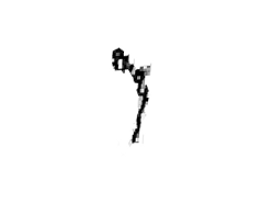 CCOc1cc(N2CCC(C(=O)NCCOCCOCCNC(=O)O)CC2)ccc1Nc1ncc2c(n1)N(C)c1ccccc1C(=O)N2C